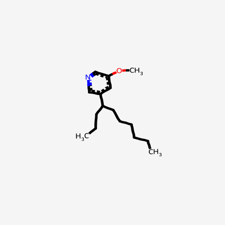 CCCCCCC(CCC)c1cncc(OC)c1